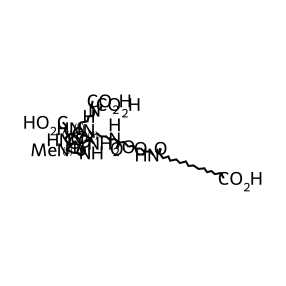 CN[C@@H](Cc1c[nH]cn1)C(=O)N[C@@H](CCC(=O)O)C(=O)N[C@@H](CCCCN(CC(=O)O)CC(=O)O)C(=O)N[C@@H](CCCCNC(=O)COCCOCCNC(=O)CCCCCCCCCCCCCCC(=O)O)C(N)=O